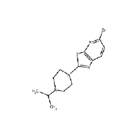 CC(C)N1CCN(c2nc3ccc(Br)nc3s2)CC1